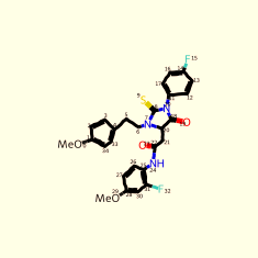 COc1ccc(CCN2C(=S)N(c3ccc(F)cc3)C(=O)C2CC(=O)Nc2ccc(OC)cc2F)cc1